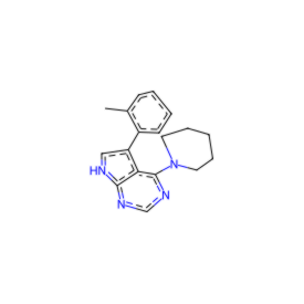 Cc1ccccc1-c1c[nH]c2ncnc(N3CCCCC3)c12